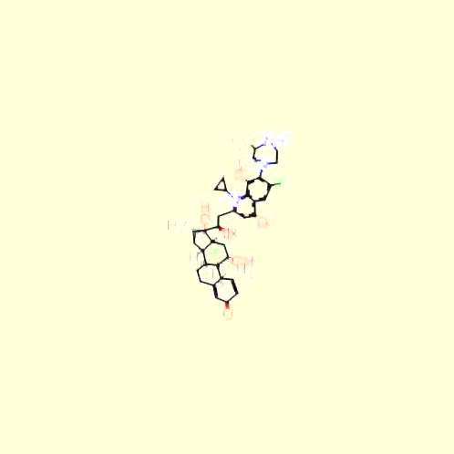 COc1c(N2CCNC(C)C2)c(F)cc2c(=O)cc(CC(=O)[C@]3(O)[C@H](C)C[C@@H]4[C@H]5CCC6=CC(=O)C=C[C@@]6(C)[C@]5(F)[C@H](O)C[C@]43C)n(C3CC3)c12